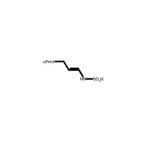 CCCCCCC=CNS(=O)(=O)O